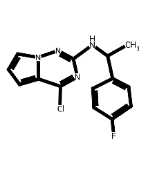 CC(Nc1nc(Cl)c2cccn2n1)c1ccc(F)cc1